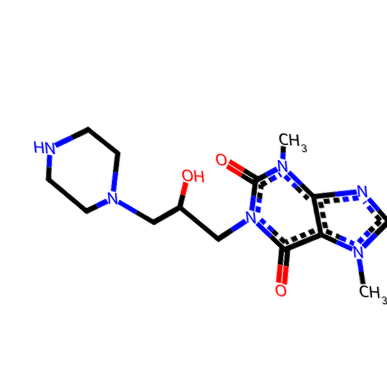 Cn1cnc2c1c(=O)n(CC(O)CN1CCNCC1)c(=O)n2C